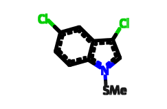 CSn1cc(Cl)c2cc(Cl)ccc21